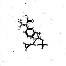 CC(C)(C)Cc1nc2cc(C(C(=O)O)=S(=O)=O)ccc2n1CC1CC1